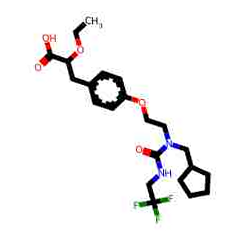 CCOC(Cc1ccc(OCCN(CC2CCCC2)C(=O)NCC(F)(F)F)cc1)C(=O)O